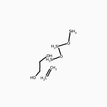 C=C.OCCO.[SiH3]O[SiH2]O[SiH3]